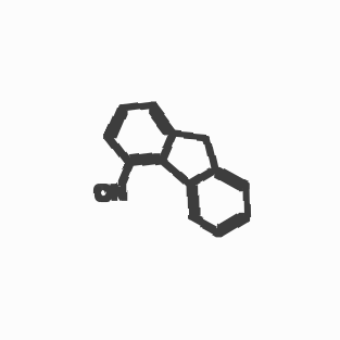 O=Nc1cccc2c1-c1ccccc1C2